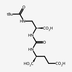 CC(C)(C)C(=O)NC[C@H](NC(=O)N[C@@H](CCC(=O)O)C(=O)O)C(=O)O